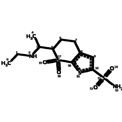 CCNC(C)C1CCc2cc(S(N)(=O)=O)sc2S1(=O)=O